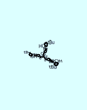 CCC(COC(=O)c1ccc2c(c1)n1n(-c3cc(C(C)(C)C)ccc3O)n21)(COC(=O)c1ccc2c(c1)n1n(-c3cc(C(C)(C)C)ccc3O)n21)COC(=O)c1ccc2c(c1)n1n(-c3cc(C(C)(C)C)ccc3O)n21